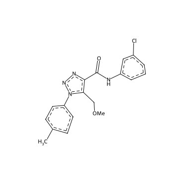 COCc1c(C(=O)Nc2cccc(Cl)c2)nnn1-c1ccc(C)cc1